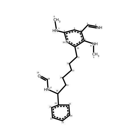 CNc1cc(C=N)c(NC)c(CCCCCC(NC=O)c2ccccc2)n1